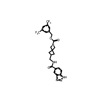 O=C(NCC1CC2(C1)CN(C(=O)OCc1cc(C(F)(F)F)cc(C(F)(F)F)c1)C2)c1ccc2[nH]nnc2c1